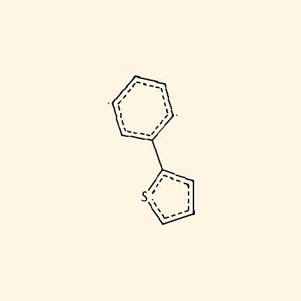 [c]1cc[c]c(-c2cccs2)c1